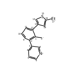 [CH2]c1c(-c2cccnc2)cccc1-c1csc(CC)c1